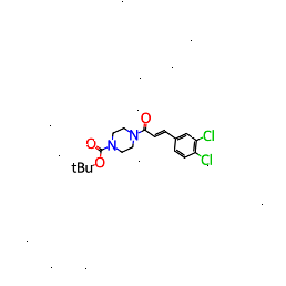 CC(C)(C)OC(=O)N1CCN(C(=O)C=Cc2ccc(Cl)c(Cl)c2)CC1